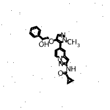 Cn1ncc(OC[C@H](O)c2ccccc2)c1-c1ccn2nc(NC(=O)C3CC3)cc2c1